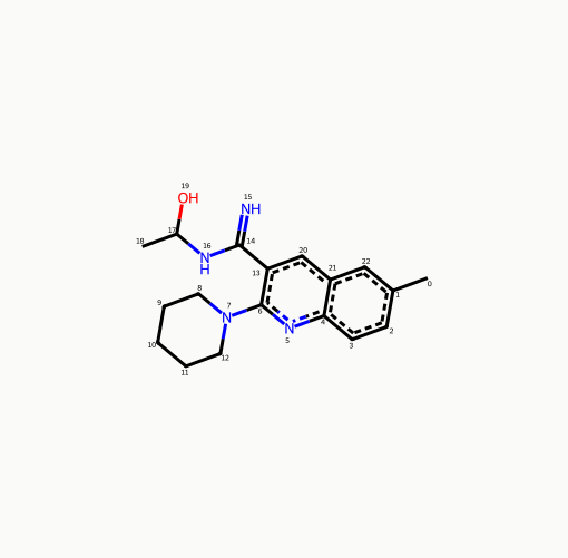 Cc1ccc2nc(N3CCCCC3)c(C(=N)NC(C)O)cc2c1